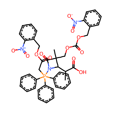 CC(C(=O)O)C1N(P(CC(=O)OCc2ccccc2[N+](=O)[O-])(c2ccccc2)(c2ccccc2)c2ccccc2)C(=O)C1(C)COC(=O)OCc1ccccc1[N+](=O)[O-]